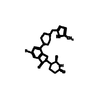 Cc1ccc(CN2CCN(c3cc(F)cc4c3CN(C3CCC(=O)NC3=O)C4=O)CC2)[nH]1